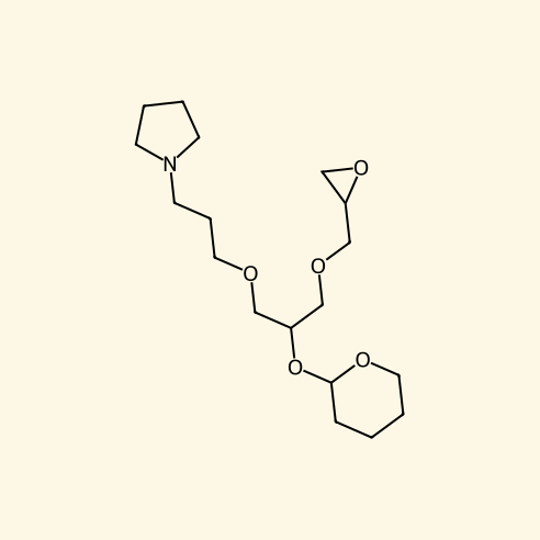 C1CCC(OC(COCCCN2CCCC2)COCC2CO2)OC1